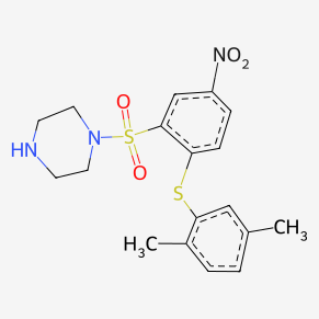 Cc1ccc(C)c(Sc2ccc([N+](=O)[O-])cc2S(=O)(=O)N2CCNCC2)c1